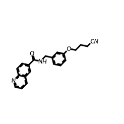 N#CCCCOc1cccc(CNC(=O)c2ccc3ncccc3c2)c1